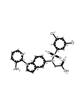 Nc1cccnc1-n1ccc2cc(N(CC(=O)O)S(=O)(=O)c3cc(Cl)cc(Cl)c3)ccc21